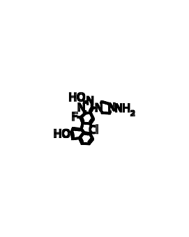 NN1CCN(c2nc(O)nc3c(F)c(-c4cc(O)cc5ccccc45)c(Cl)cc23)CC1